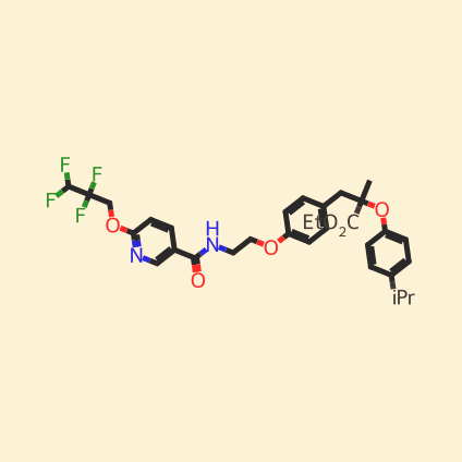 CCOC(=O)C(C)(Cc1ccc(OCCNC(=O)c2ccc(OCC(F)(F)C(F)F)nc2)cc1)Oc1ccc(C(C)C)cc1